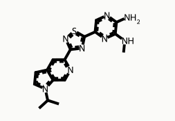 CNc1nc(-c2nc(-c3cc4ccn(C(C)C)c4cn3)ns2)cnc1N